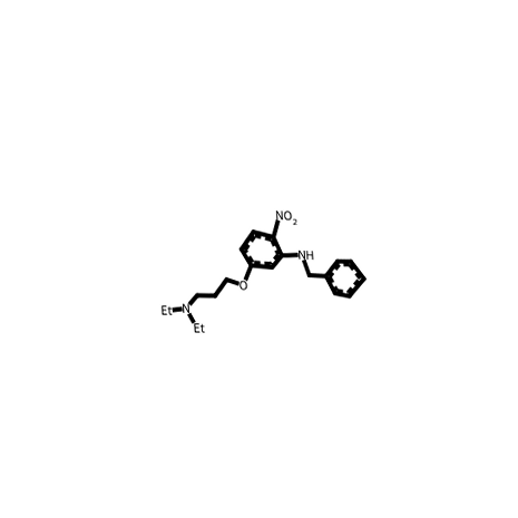 CCN(CC)CCCOc1ccc([N+](=O)[O-])c(NCc2ccccc2)c1